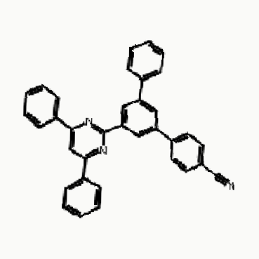 N#Cc1ccc(-c2cc(-c3ccccc3)cc(-c3nc(-c4ccccc4)cc(-c4ccccc4)n3)c2)cc1